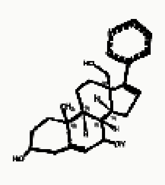 C[C@]12CCC(O)CC1=CC(O)[C@@H]1[C@H]2CC[C@]2(CO)C(c3cccnc3)=CC[C@@H]12